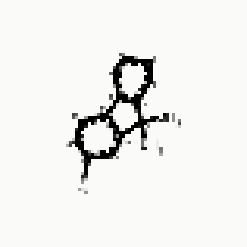 BC1(B)c2ccccc2-c2ccc(F)cc21